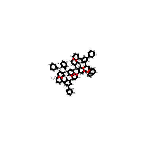 CC(C)(C)c1cc2c3c(c1)N(c1c(-c4ccccc4)cc(-c4ccccc4)cc1-c1ccccc1)c1cc4c(cc1B3c1ccccc1N2c1ccccc1)B1c2ccccc2N(c2c(-c3ccccc3)cc(-c3ccccc3)cc2-c2ccccc2)c2cc(N3C5CC6CC(C5)CC3C6)cc(c21)S4